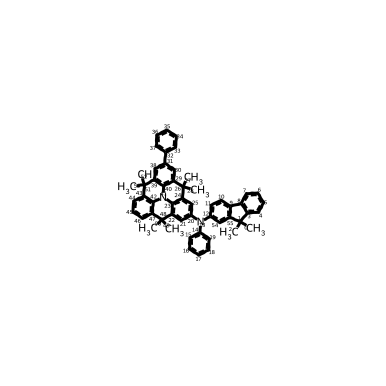 CC1(C)c2ccccc2-c2ccc(N(c3ccccc3)c3cc4c5c(c3)C(C)(C)c3cc(-c6ccccc6)cc6c3N5c3c(cccc3C4(C)C)C6(C)C)cc21